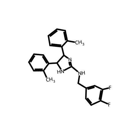 Cc1ccccc1C1N=C(NCc2ccc(F)c(F)c2)NC1c1ccccc1C